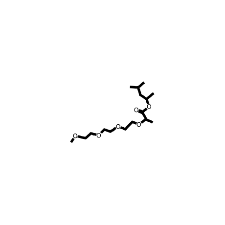 COCCOCCOCCOC(C)C(=O)OC(C)CC(C)C